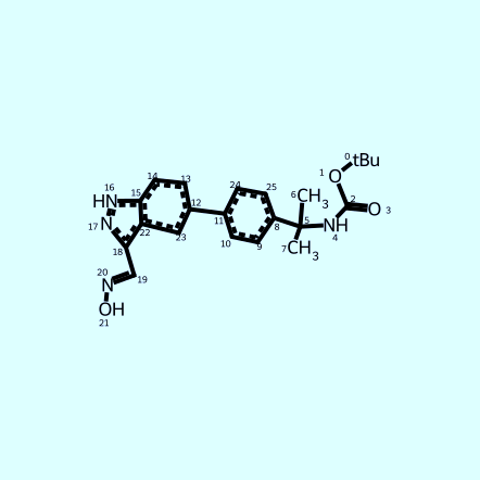 CC(C)(C)OC(=O)NC(C)(C)c1ccc(-c2ccc3[nH]nc(C=NO)c3c2)cc1